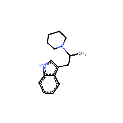 CC(Cc1c[nH]c2ccccc12)N1CCCCC1